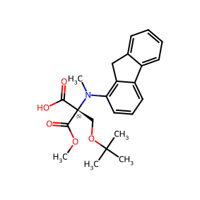 COC(=O)[C@](COC(C)(C)C)(C(=O)O)N(C)c1cccc2c1Cc1ccccc1-2